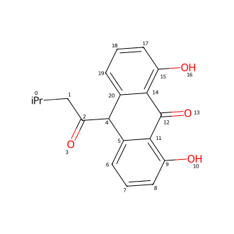 CC(C)CC(=O)C1c2cccc(O)c2C(=O)c2c(O)cccc21